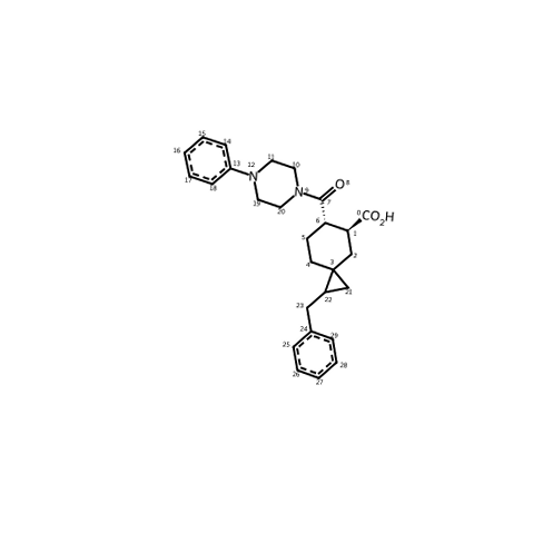 O=C(O)[C@H]1CC2(CC[C@@H]1C(=O)N1CCN(c3ccccc3)CC1)CC2Cc1ccccc1